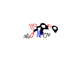 CCCCOC(=O)c1nc(C#N)c2cc(OC3CCCCC3)ccc2c1O